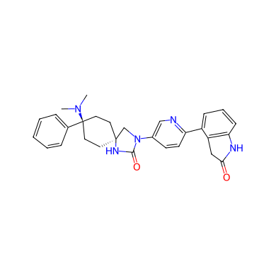 CN(C)[C@]1(c2ccccc2)CC[C@]2(CC1)CN(c1ccc(-c3cccc4c3CC(=O)N4)nc1)C(=O)N2